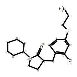 NCCOc1ccc(CC2CCN(C3CCCCC3)C2=O)c(Cl)c1